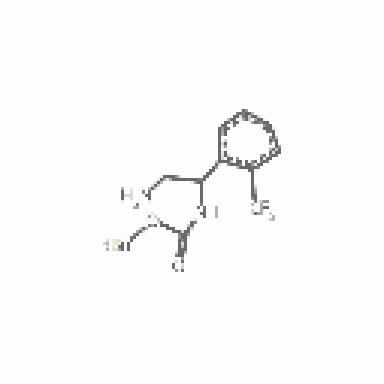 CC(C)(C)OC(=O)NC(CN)c1ccccc1C(F)(F)F